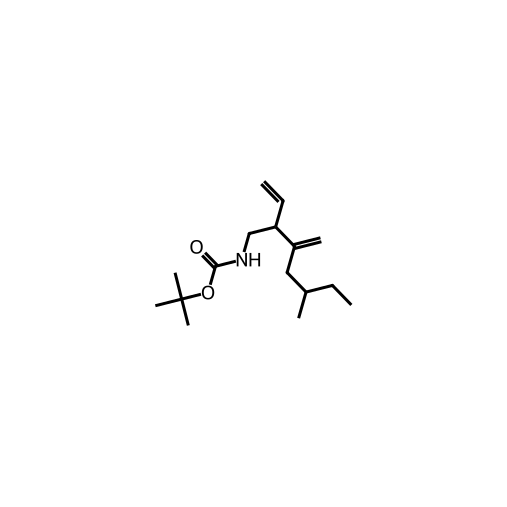 C=CC(CNC(=O)OC(C)(C)C)C(=C)CC(C)CC